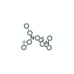 CC1(C)c2ccccc2-c2ccc(N(c3ccc(-c4ccccc4)cc3)c3ccc4sc5c(ccc6c7ccccc7n(-c7ccccc7)c65)c4c3)cc21